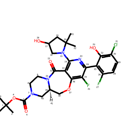 CC(C)(C)OC(=O)N1CCN2C(=O)c3c(N4CC(O)CC4(C)C)nc(-c4c(F)ccc(Cl)c4O)c(F)c3OC[C@H]2C1